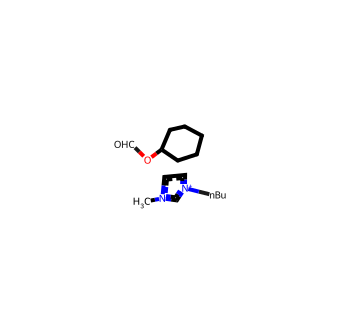 CCCC[n+]1ccn(C)c1.O=COC1CCCCC1